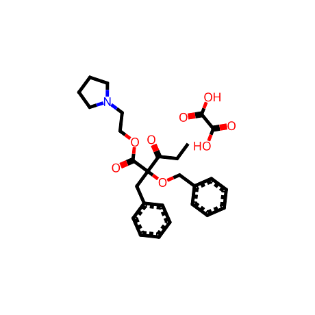 CCC(=O)C(Cc1ccccc1)(OCc1ccccc1)C(=O)OCCN1CCCC1.O=C(O)C(=O)O